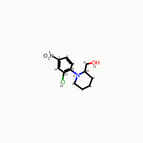 O=[N+]([O-])c1ccc(N2CCCCC2CO)c(Cl)c1